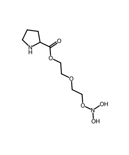 O=C(OCCOCCON(O)O)C1CCCN1